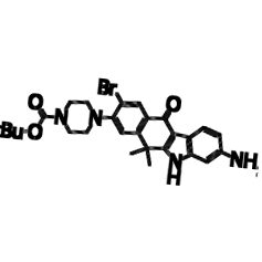 CC(C)(C)OC(=O)N1CCN(c2cc3c(cc2Br)C(=O)c2c([nH]c4cc(N)ccc24)C3(C)C)CC1